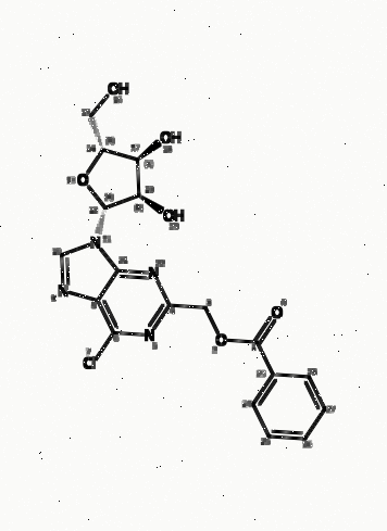 O=C(OCc1nc(Cl)c2ncn([C@@H]3O[C@H](CO)[C@@H](O)[C@H]3O)c2n1)c1ccccc1